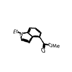 CCn1ccc2c(C(=O)OC)cccc21